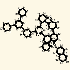 c1ccc(-c2cc(-c3ccccc3)cc(-c3cccc(-c4nc(-c5ccccc5)nc(-c5cccc6sc7ccc(-c8ccc9c(c8)c8ccccc8n9-c8ccc9ccccc9c8)cc7c56)n4)c3)c2)cc1